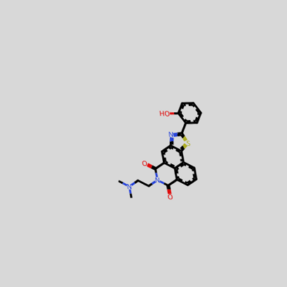 CN(C)CCN1C(=O)c2cccc3c2c(cc2nc(-c4ccccc4O)sc23)C1=O